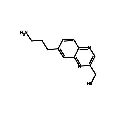 NCCCc1ccc2ncc(CS)nc2c1